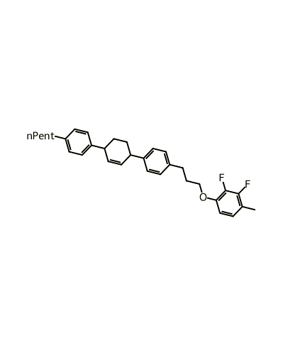 CCCCCc1ccc(C2C=CC(c3ccc(CCCOc4ccc(C)c(F)c4F)cc3)CC2)cc1